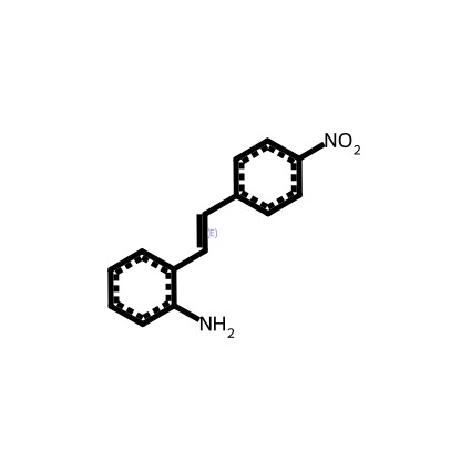 Nc1ccccc1/C=C/c1ccc([N+](=O)[O-])cc1